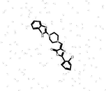 O=C1OC(c2ccccc2Cl)=NC1=CN1CCN(c2nc3ccccc3[nH]2)CC1